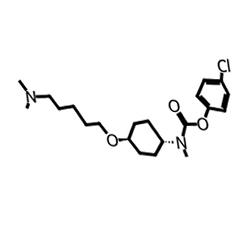 CN(C)CCCCCO[C@H]1CC[C@H](N(C)C(=O)Oc2ccc(Cl)cc2)CC1